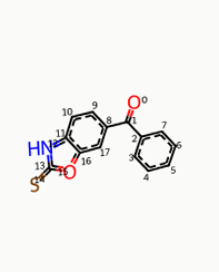 O=C(c1ccccc1)c1ccc2[nH]c(=S)oc2c1